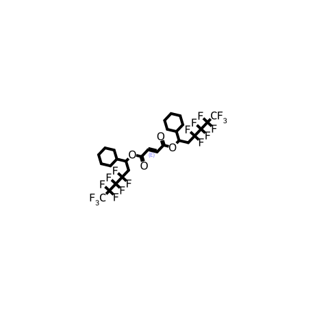 O=C(/C=C/C(=O)OC(CC(F)(F)C(F)(F)C(F)(F)C(F)(F)F)C1CCCCC1)OC(CC(F)(F)C(F)(F)C(F)(F)C(F)(F)F)C1CCCCC1